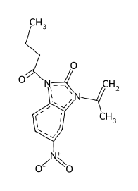 C=C(C)n1c(=O)n(C(=O)CCC)c2ccc([N+](=O)[O-])cc21